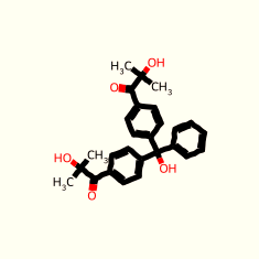 CC(C)(O)C(=O)c1ccc(C(O)(c2ccccc2)c2ccc(C(=O)C(C)(C)O)cc2)cc1